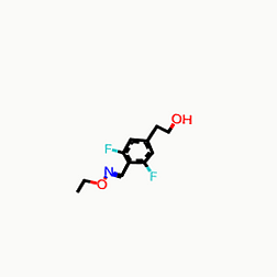 CCON=Cc1c(F)cc(CCO)cc1F